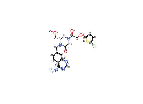 COC[C@@H]1CN(C(=O)COc2ccc(Cl)s2)CC(=O)N1Cc1ccc2c(N)ncnc2c1